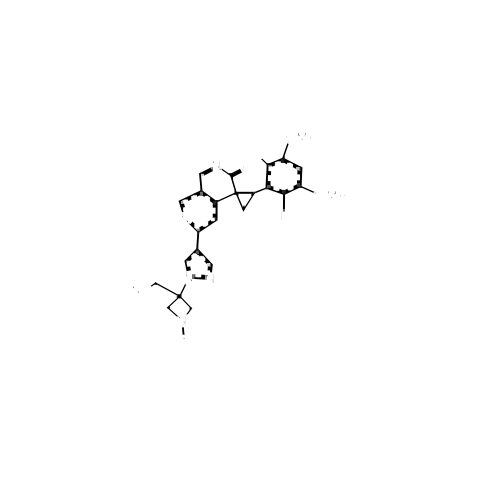 COc1cc(OC)c(F)c(C2CC23C(=O)N=Cc2cnc(-c4cnn(C5(CC#N)CN(C(C)=O)C5)c4)cc23)c1F